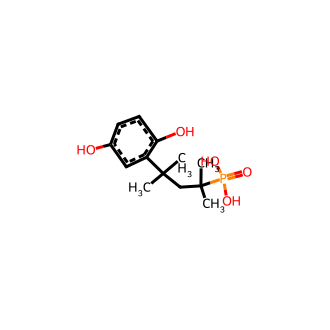 CC(C)(CC(C)(C)P(=O)(O)O)c1cc(O)ccc1O